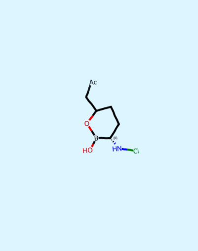 CC(=O)CC1CC[C@H](NCl)B(O)O1